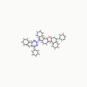 c1ccc(-c2cc3oc4c(ccc5c4c4ccccc4n5-c4nc(-c5ccccc5)c5sc6ccccc6c5n4)c3c3ccccc23)cc1